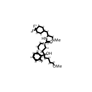 CNCC(CC1CCC(F)(F)CC1)NC(=O)N1CCC[C@@H]([C@@](O)(CCCCOC)c2ccccc2F)C1